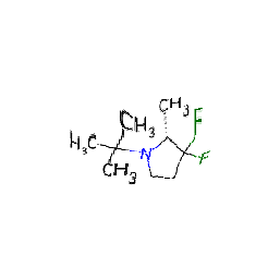 C[C@H]1N(C(C)(C)C)CCC1(F)F